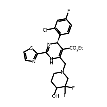 CCOC(=O)C1=C(CN2CCC(O)C(F)(F)C2)NC(c2nccs2)=N[C@H]1c1ccc(F)cc1Cl